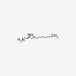 CCCCCCCCCCC(N)=CCN